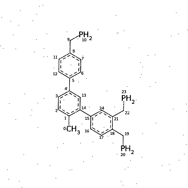 Cc1ccc(-c2ccc(CP)cc2)cc1-c1ccc(CP)c(CP)c1